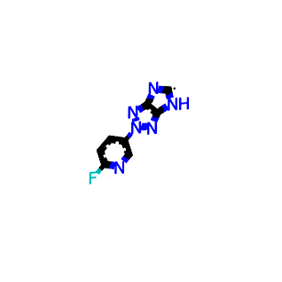 Fc1ccc(-n2nc3n[c][nH]c3n2)cn1